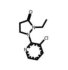 CCN1C(=O)CCN1c1ncccc1Cl